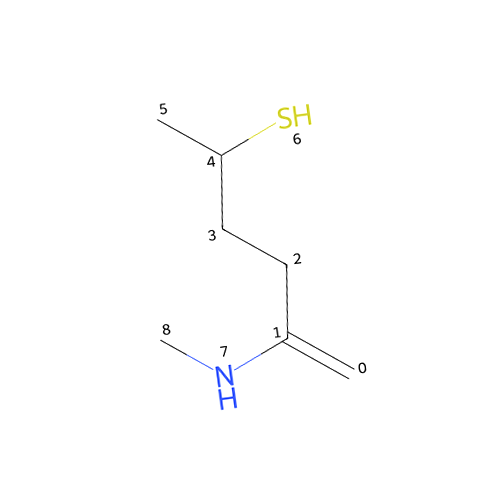 C=C(CCC(C)S)NC